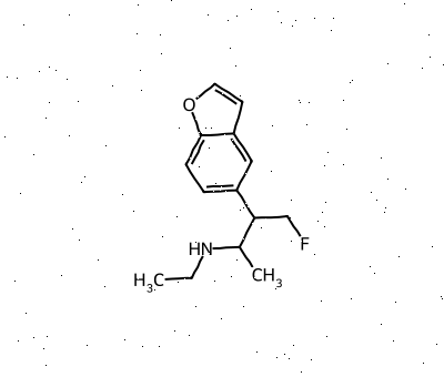 CCNC(C)C(CF)c1ccc2occc2c1